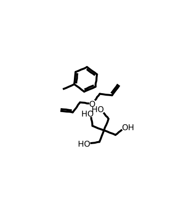 C=CCOCC=C.Cc1ccccc1.OCC(CO)(CO)CO